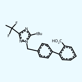 CC(C)(C)c1nc(C(C)(F)F)nn1Cc1ccc(-c2ccccc2C(=O)O)cc1